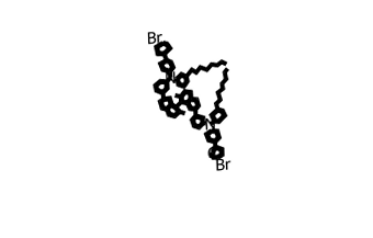 CCCCCCCCc1cccc(N(c2ccc(-c3ccc(Br)cc3)cc2)c2cccc(-c3ccc4ccc(C)c(-c5c(C)ccc6ccc(-c7cccc(N(c8ccc(-c9ccc(Br)cc9)cc8)c8cccc(CCCCCCCC)c8)c7)cc56)c4c3)c2)c1